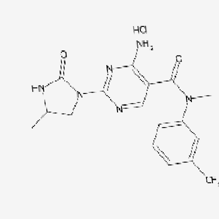 CC1CN(c2ncc(C(=O)N(C)c3cccc(C(F)(F)F)c3)c(N)n2)C(=O)N1.Cl